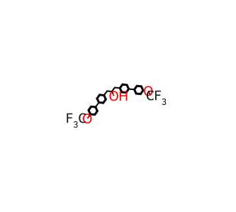 OC(Cc1ccc(-c2ccc(OC(F)(F)F)cc2)cc1)Cc1ccc(-c2ccc(OC(F)(F)F)cc2)cc1